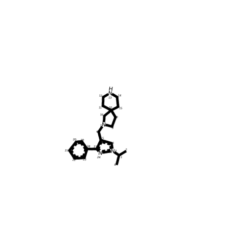 CC(C)n1cc(CN2CCC3(CCNCC3)C2)c(-c2ccccc2)n1